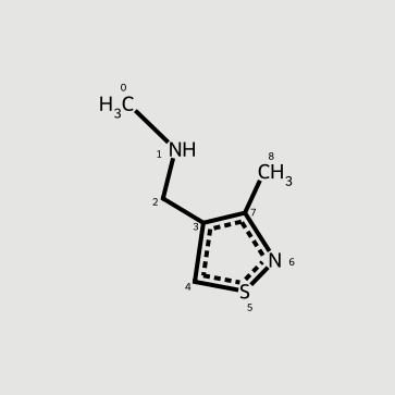 CNCc1csnc1C